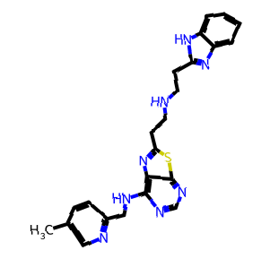 Cc1ccc(CNc2ncnc3sc(CCNCCc4nc5ccccc5[nH]4)nc23)nc1